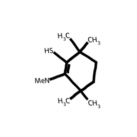 CNC1=C(S)C(C)(C)CCC1(C)C